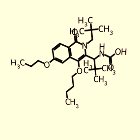 CCCCOc1c(C(NC(=O)O)C(C)(C)C)n(CC(C)(C)C)c(=O)c2ccc(OCCC)cc12